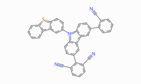 N#Cc1ccccc1-c1ccc2c(c1)c1cc(-c3c(C#N)cccc3C#N)ccc1n2-c1ccc2sc3ccccc3c2c1